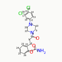 NC(=O)OC(CC(=O)N1CCN(c2ccc(Cl)c(Cl)c2)CC1)c1ccccc1